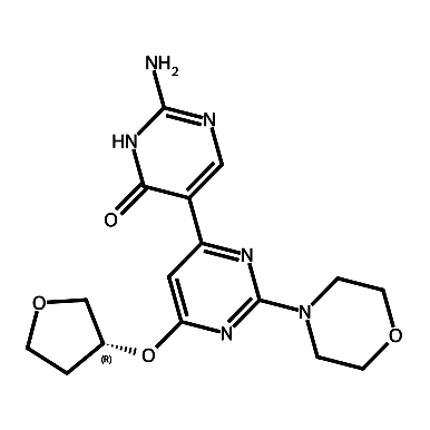 Nc1ncc(-c2cc(O[C@@H]3CCOC3)nc(N3CCOCC3)n2)c(=O)[nH]1